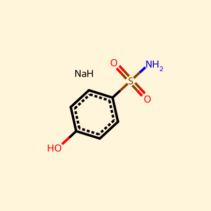 NS(=O)(=O)c1ccc(O)cc1.[NaH]